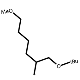 [CH2]C(CCCCOC)COC(C)(C)C